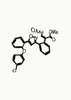 CO/C=C(\C(=O)OC)c1ccccc1-c1cc(-c2ccccc2Oc2ccc(Cl)cc2)on1